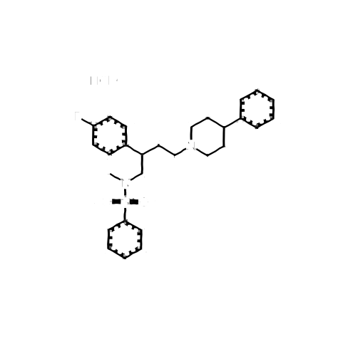 CN(CC(CCN1CCC(c2ccccc2)CC1)c1ccc(F)cc1)S(=O)(=O)c1ccccc1.Cl